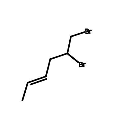 CC=CCC(Br)CBr